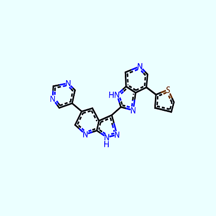 c1csc(-c2cncc3[nH]c(-c4n[nH]c5ncc(-c6cncnc6)cc45)nc23)c1